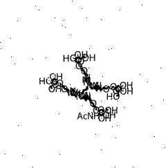 CC(=O)N[C@H]1[C@H](OCCOCCn2cc(CN(Cc3cn(CCOCCO[C@H]4C[C@@H](O)[C@@H](O)[C@@H](CO)O4)nn3)C(CCCCN(Cc3cn(CCOCCO[C@H]4C[C@@H](O)[C@@H](O)[C@@H](CO)O4)nn3)Cc3cn(CCOCCO[C@H]4C[C@@H](O)[C@@H](O)[C@@H](CO)O4)nn3)C(C)(C)C)nn2)O[C@H](CO)[C@H](O)[C@@H]1O